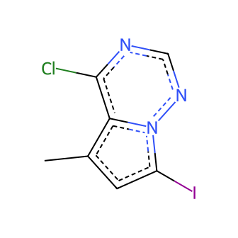 Cc1cc(I)n2ncnc(Cl)c12